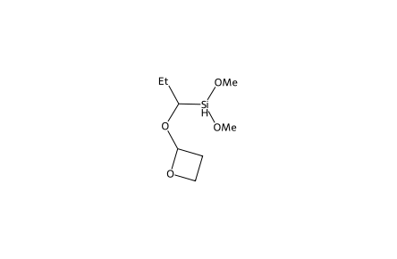 CCC(OC1CCO1)[SiH](OC)OC